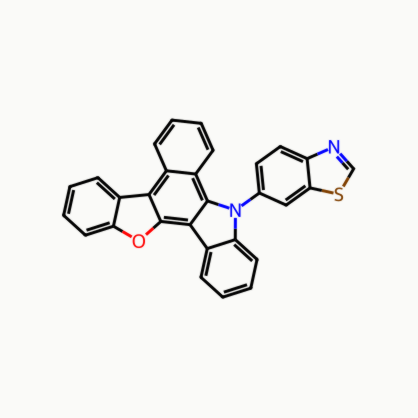 c1ccc2c(c1)oc1c2c2ccccc2c2c1c1ccccc1n2-c1ccc2ncsc2c1